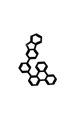 c1cc(-c2ccc3c(c2)sc2ccccc23)cc(-c2cccc3c4ccccc4c4ccccc4c23)c1